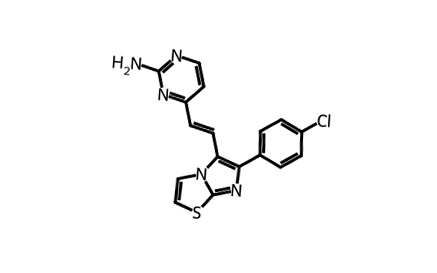 Nc1nccc(C=Cc2c(-c3ccc(Cl)cc3)nc3sccn23)n1